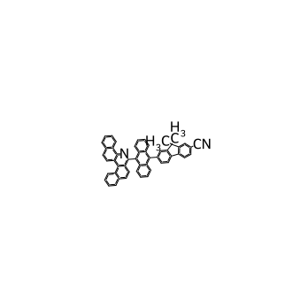 CC1(C)c2cc(C#N)ccc2-c2ccc(-c3c4ccccc4c(-c4nc5c6ccccc6ccc5c5c4ccc4ccccc45)c4ccccc34)cc21